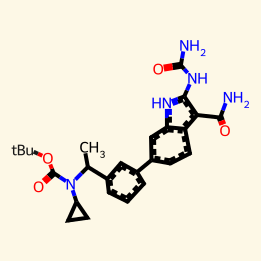 CC(c1cccc(-c2ccc3c(C(N)=O)c(NC(N)=O)[nH]c3c2)c1)N(C(=O)OC(C)(C)C)C1CC1